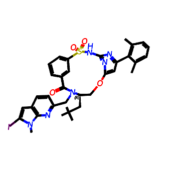 Cc1cccc(C)c1-c1cc2nc(n1)NS(=O)(=O)c1cccc(c1)C(=O)N(Cc1ccc3cc(I)n(C)c3n1)[C@H](CC(C)(C)C)CO2